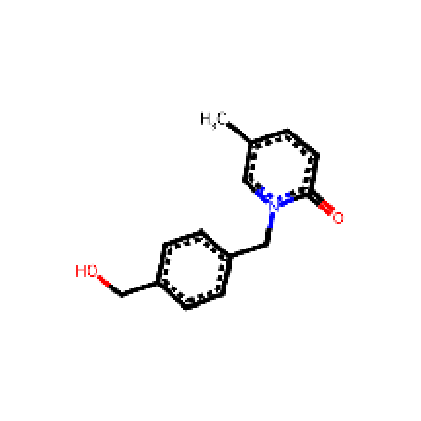 Cc1ccc(=O)n(Cc2ccc(CO)cc2)c1